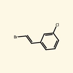 Clc1cccc(C=CBr)c1